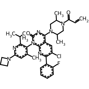 C=CC(=O)N1CC(C)N(c2nc(=O)n(-c3c(C)cc(N4CCC4)nc3C(C)C)c3nc(-c4ccccc4F)c(Cl)cc23)CC1C